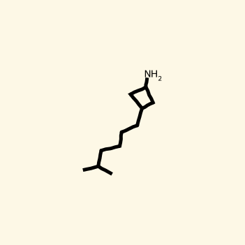 CC(C)CCCCC1CC(N)C1